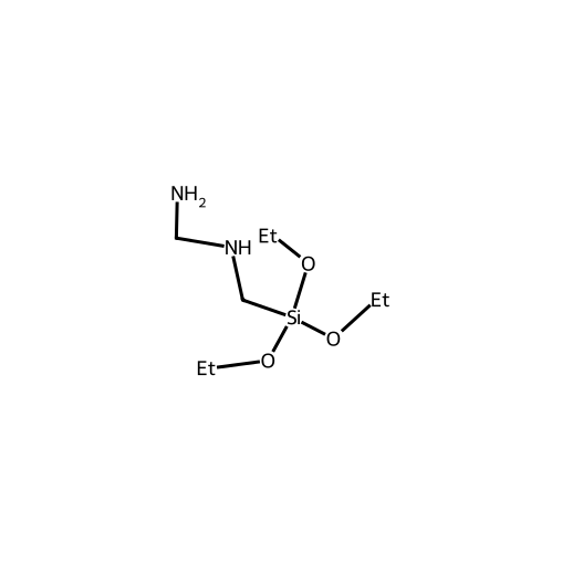 CCO[Si](CNCN)(OCC)OCC